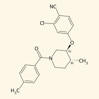 Cc1ccc(C(=O)N2CC[C@@H](C)[C@H](Oc3ccc(C#N)c(Cl)c3)C2)cc1